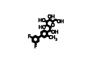 Cc1cc(-c2cc(F)cc(F)c2)ccc1[C@@H](O)[C@H]1OC(CO)[C@@H](O)[C@H](O)C1O